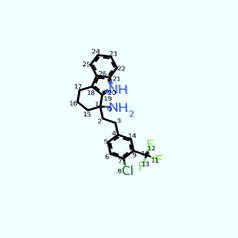 NC1(CCc2ccc(Cl)c(C(F)(F)F)c2)CCCc2c1[nH]c1ccccc21